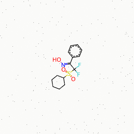 O=S(=O)(C1CCCCC1)C(F)(F)C(=NO)c1ccccc1